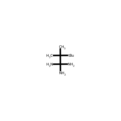 CC(C)(C)C(C)(C)C(N)(N)N